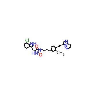 Cc1cc(CCCCN2C(=O)NC(Cc3c[nH]c4c(Cl)cccc34)C2=O)ccc1C#Cc1cnc2cccnn12